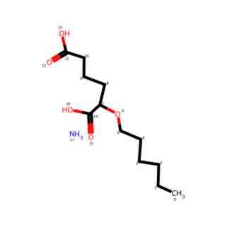 CCCCCCOC(CCCC(=O)O)C(=O)O.N